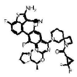 C[C@H](Oc1nc(N2CCCC3(CCN3C(=O)C3CC3(F)F)C2)c2cc(Cl)c(-c3ccc(F)c4sc(N)c(C#N)c34)c(F)c2n1)[C@@H]1CCCN1C